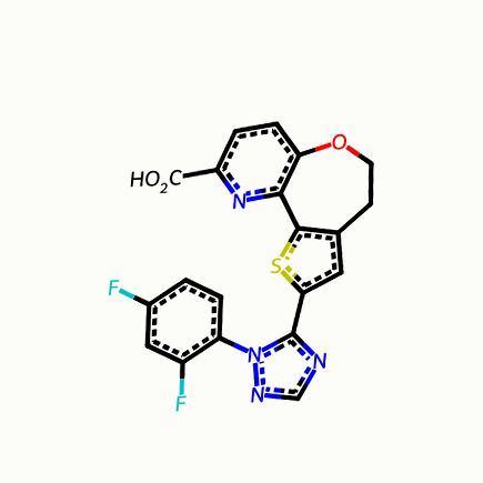 O=C(O)c1ccc2c(n1)-c1sc(-c3ncnn3-c3ccc(F)cc3F)cc1CCO2